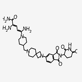 NC(=O)/C(N)=C/C=C(\N)N1CCC(CN2CCC3(CC2)CN(c2ccc4c(c2)C(=O)N(C2CCC(=O)NC2=O)C4=O)C3)CC1